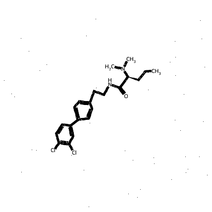 CCC[C@@H](C(=O)NCCc1ccc(-c2ccc(Cl)c(Cl)c2)cc1)N(C)C